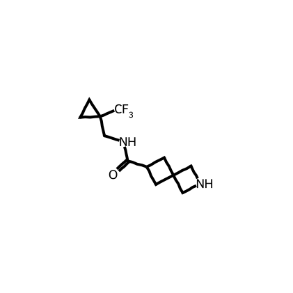 O=C(NCC1(C(F)(F)F)CC1)C1CC2(CNC2)C1